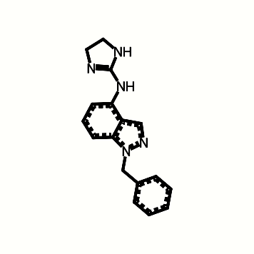 c1ccc(Cn2ncc3c(NC4=NCCN4)cccc32)cc1